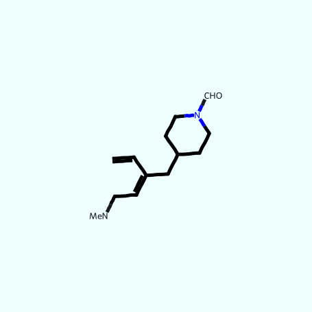 C=C/C(=C\CNC)CC1CCN(C=O)CC1